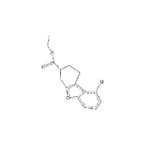 CCOC(=O)C1CCc2c(oc3cccc(Cl)c23)C1